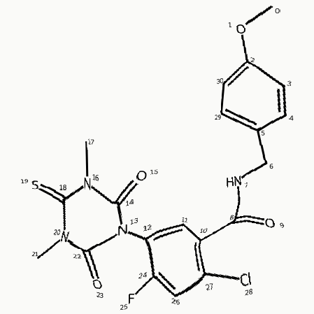 COc1ccc(CNC(=O)c2cc(-n3c(=O)n(C)c(=S)n(C)c3=O)c(F)cc2Cl)cc1